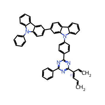 C=C/C=C(\C=C)c1nc(-c2ccccc2)nc(-c2ccc(-n3c4ccccc4c4ccc(-c5ccc6c(c5)c5ccccc5n6-c5ccccc5)cc43)cc2)n1